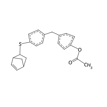 CC(=O)Oc1ccc(Cc2ccc(SC3CC4C=CC3C4)cc2)cc1